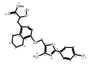 CCOC(Cc1ccc(OCc2sc(-c3ccc(C(F)(F)F)cc3)nc2C)c2c1CCCC2)C(=O)OC